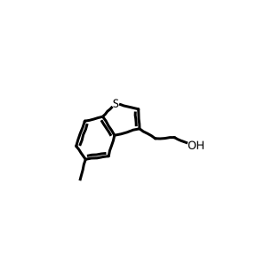 Cc1ccc2scc(CCO)c2c1